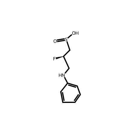 O=S(O)C[C@H](F)CNc1ccccc1